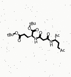 CC(=O)CC[C@H](NC(=O)CC(=O)N[C@@H](CCC(=O)OC(C)(C)C)C(=O)OC(C)(C)C)C(C)=O